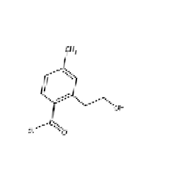 CCC(=O)c1ccc(C)cc1CCO